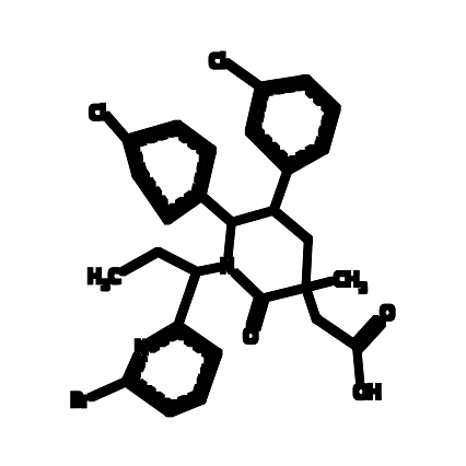 CCC(c1cccc(Br)n1)N1C(=O)C(C)(CC(=O)O)CC(c2cccc(Cl)c2)C1c1ccc(Cl)cc1